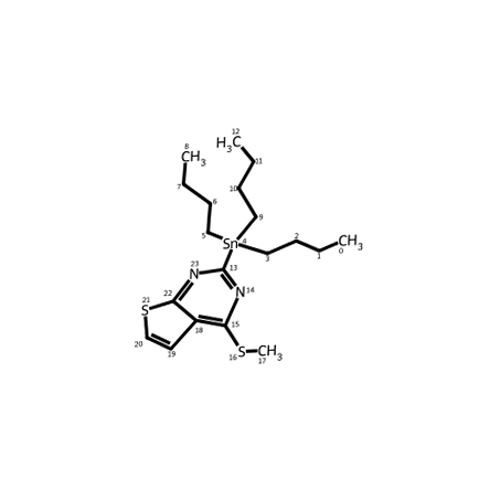 CCC[CH2][Sn]([CH2]CCC)([CH2]CCC)[c]1nc(SC)c2ccsc2n1